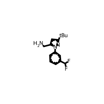 CC(C)(C)c1cc(CN)n(-c2cccc(C(F)F)c2)n1